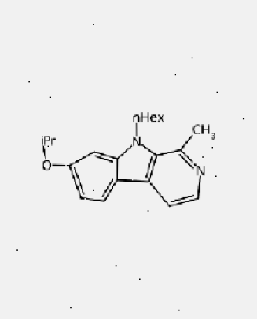 CCCCCCn1c2cc(OC(C)C)ccc2c2ccnc(C)c21